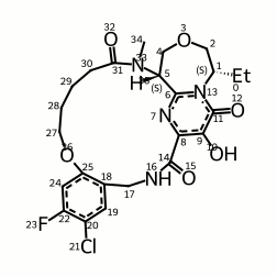 CC[C@H]1COC[C@@H]2c3nc(c(O)c(=O)n31)C(=O)NCc1cc(Cl)c(F)cc1OCCCCC(=O)N2C